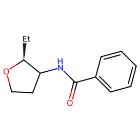 CC[C@@H]1OCCC1NC(=O)c1ccccc1